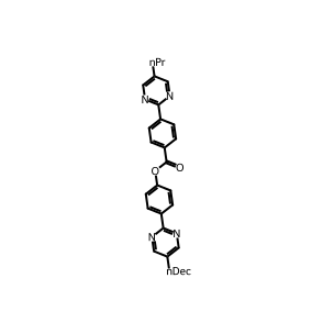 CCCCCCCCCCc1cnc(-c2ccc(OC(=O)c3ccc(-c4ncc(CCC)cn4)cc3)cc2)nc1